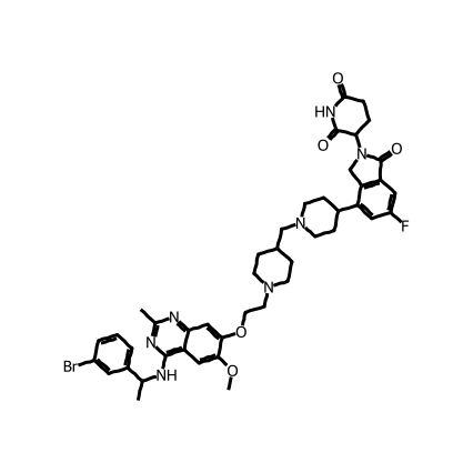 COc1cc2c(NC(C)c3cccc(Br)c3)nc(C)nc2cc1OCCN1CCC(CN2CCC(c3cc(F)cc4c3CN(C3CCC(=O)NC3=O)C4=O)CC2)CC1